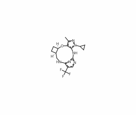 Cc1nn(C2CC2)c2c1O[C@@H]1CC[C@@H]1CNc1nc(ncc1C(F)(F)F)N2